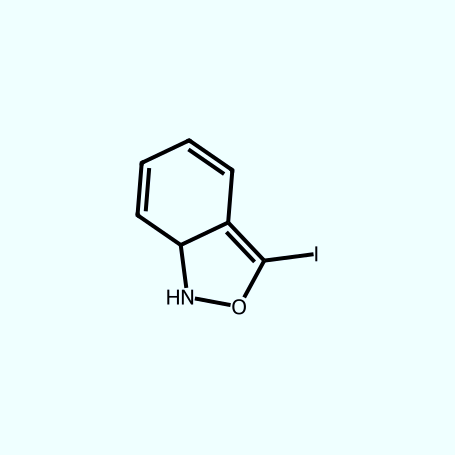 IC1=C2C=CC=CC2NO1